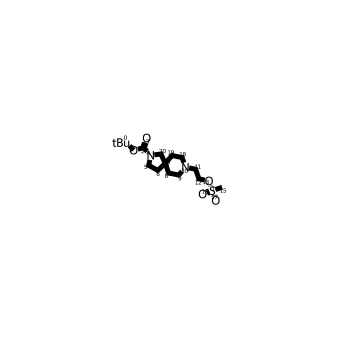 CC(C)(C)OC(=O)N1CCC2(CCN(CCOS(C)(=O)=O)CC2)C1